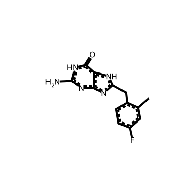 Cc1cc(F)ccc1Cc1nc2nc(N)[nH]c(=O)c2[nH]1